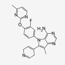 Cc1ccnc(Oc2ccc(-n3c(C4=CCN=CC4)c(C)c4ncnc(N)c43)cc2F)n1